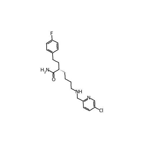 NC(=O)[C@@H](CCCCNCc1ccc(Cl)cn1)CCc1ccc(F)cc1